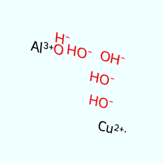 [Al+3].[Cu+2].[OH-].[OH-].[OH-].[OH-].[OH-]